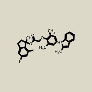 CC1=Cc2ccccc2[SH]1c1cc(C)c(OCC(=O)OC2(C)CCc3cc(F)cc(I)c32)c(C)c1